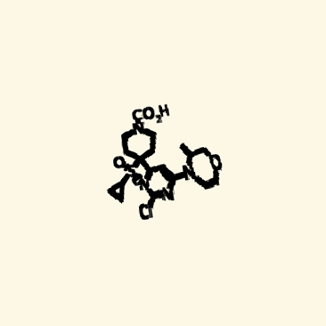 CC1COCCN1c1cc(C2(S(=O)(=O)C3CC3)CCN(C(=O)O)CC2)nc(Cl)n1